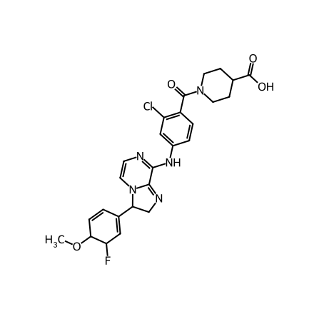 COC1C=CC(C2CN=C3C(Nc4ccc(C(=O)N5CCC(C(=O)O)CC5)c(Cl)c4)=NC=CN32)=CC1F